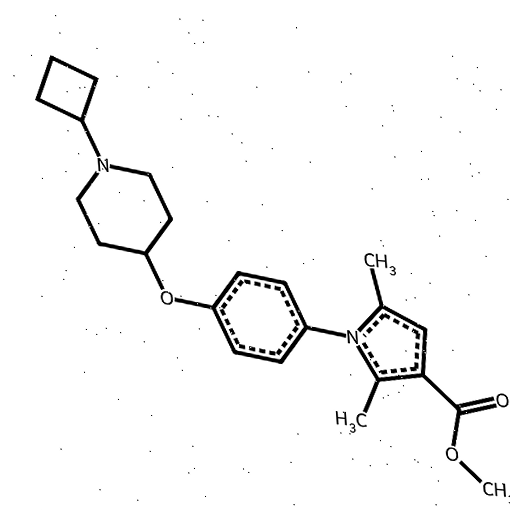 COC(=O)c1cc(C)n(-c2ccc(OC3CCN(C4CCC4)CC3)cc2)c1C